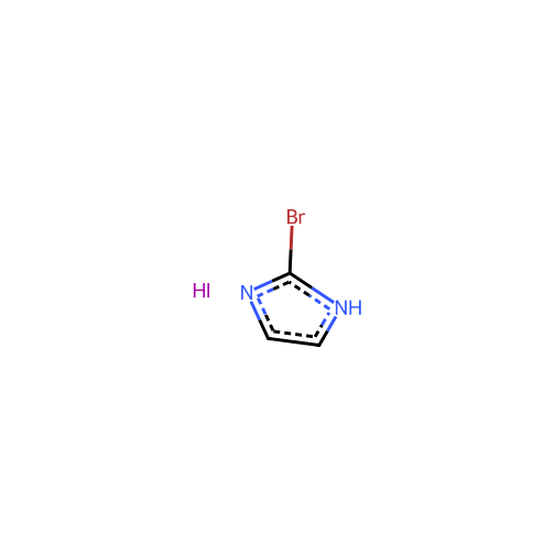 Brc1ncc[nH]1.I